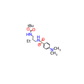 CC[C@H](CNC(=O)OC(C)(C)C)CNS(=O)(=O)c1ccc(N(C)C)cc1